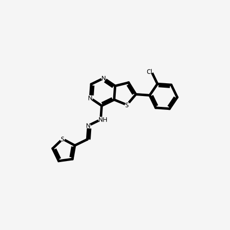 Clc1ccccc1-c1cc2ncnc(NN=Cc3cccs3)c2s1